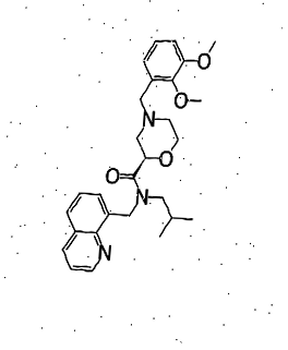 COc1cccc(CN2CCO[C@@H](C(=O)N(Cc3cccc4cccnc34)CC(C)C)C2)c1OC